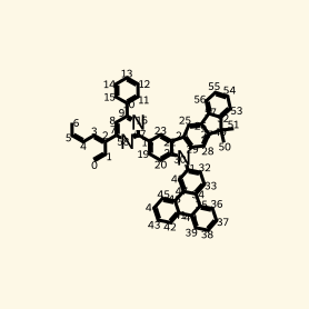 C=C/C(=C\C=C/C)c1cc(-c2ccccc2)nc(-c2ccc3c(c2)c2cc4c(cc2n3-c2ccc3c5ccccc5c5ccccc5c3c2)C(C)(C)c2ccccc2-4)n1